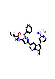 C=CC(=O)Nc1cc(-c2cnc3[nH]cc(-c4ccnc(NC)c4)c3c2)nn1Cc1cccnc1